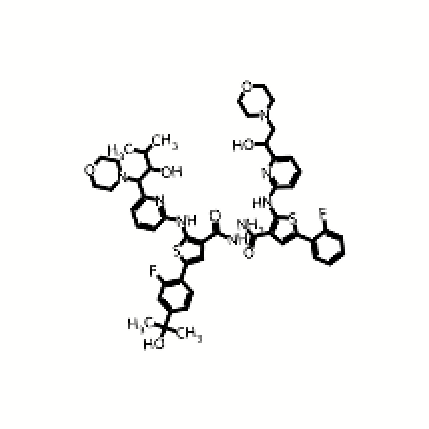 CC(C)C(O)C(c1cccc(Nc2sc(-c3ccc(C(C)(C)O)cc3F)cc2C(N)=O)n1)N1CCOCC1.NC(=O)c1cc(-c2ccccc2F)sc1Nc1cccc(C(O)CN2CCOCC2)n1